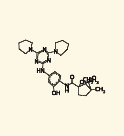 CC12CCC(C(=O)Nc3ccc(Nc4nc(N5CCCCC5)nc(N5CCCCC5)n4)cc3O)(OC1=O)C2(C)C